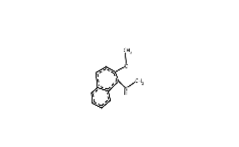 CNc1c(OC)ccc2ccccc12